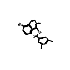 Cc1cc(C)cc(C(=O)Nc2c(C)ccc3c(Br)cccc23)c1